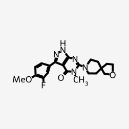 COc1ccc(-c2n[nH]c3nc(N4CCC5(CCOC5)CC4)n(C)c(=O)c23)cc1F